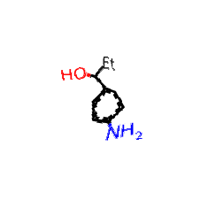 CCC(O)c1ccc(N)cc1